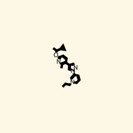 CCCN1C=C(n2cc(-c3ccc(OC(C)C4CC4)nc3C)cn2)C=CC1